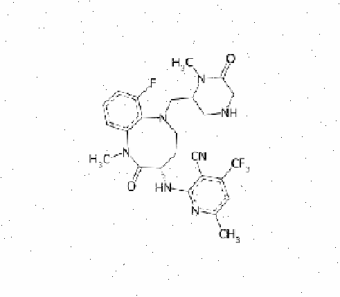 Cc1cc(C(F)(F)F)c(C#N)c(N[C@H]2CCN(CC3CNCC(=O)N3C)c3c(F)cccc3N(C)C2=O)n1